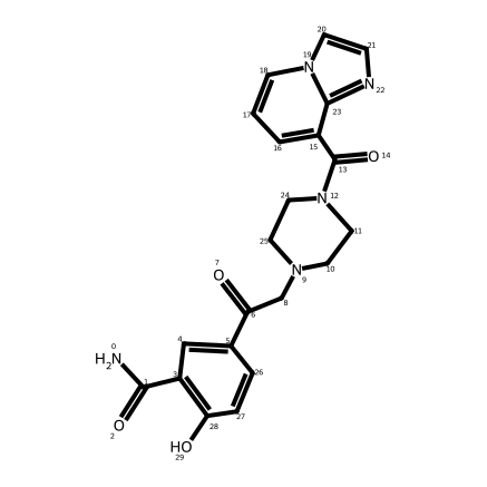 NC(=O)c1cc(C(=O)CN2CCN(C(=O)c3cccn4ccnc34)CC2)ccc1O